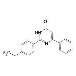 O=c1cc(-c2ccccc2)nc(-c2ccc(CC(F)(F)F)cc2)[nH]1